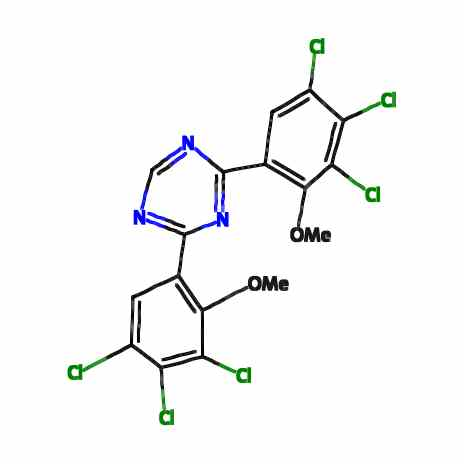 COc1c(-c2ncnc(-c3cc(Cl)c(Cl)c(Cl)c3OC)n2)cc(Cl)c(Cl)c1Cl